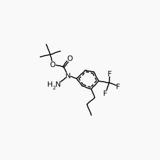 CCCc1cc(N(N)C(=O)OC(C)(C)C)ccc1C(F)(F)F